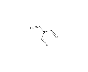 O=[CH][Ni]([CH]=O)[CH]=O